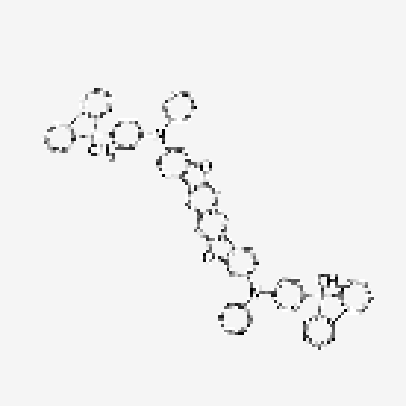 CC1(c2ccc(N(c3ccccc3)c3ccc4c(c3)oc3cc5cc6c(cc5cc34)oc3cc(N(c4ccccc4)c4ccc(C5(C)c7ccccc7-c7ccccc75)cc4)ccc36)cc2)c2ccccc2-c2ccccc21